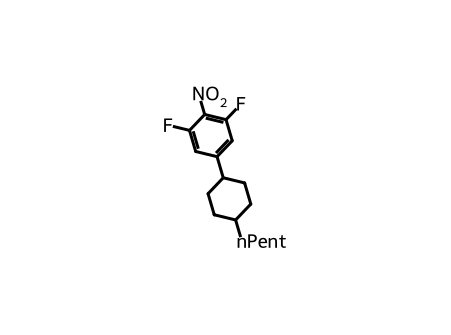 CCCCCC1CCC(c2cc(F)c([N+](=O)[O-])c(F)c2)CC1